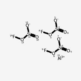 O=[Si]([O-])OF.O=[Si]([O-])OF.O=[Si]([O-])OF.[Al+3]